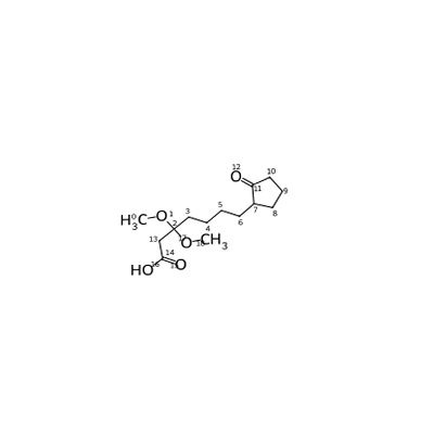 COC(CCCCC1CCCC1=O)(CC(=O)O)OC